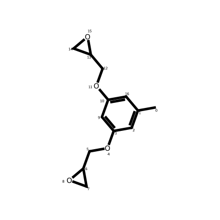 Cc1cc(OCC2CO2)cc(OCC2CO2)c1